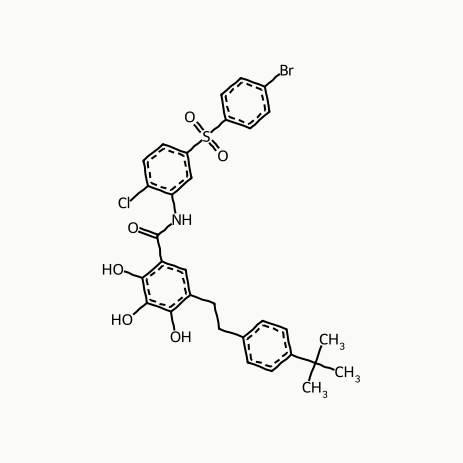 CC(C)(C)c1ccc(CCc2cc(C(=O)Nc3cc(S(=O)(=O)c4ccc(Br)cc4)ccc3Cl)c(O)c(O)c2O)cc1